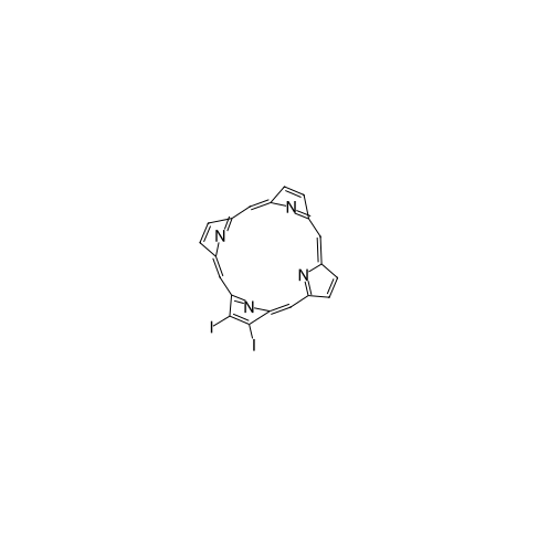 IC1=C(I)C2=NC1=CC1=NC(=CC3=NC(=CC4=NC(=C2)C=C4)C=C3)C=C1